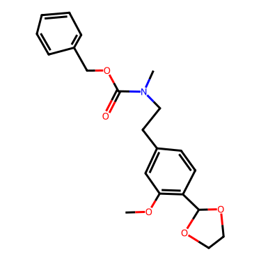 COc1cc(CCN(C)C(=O)OCc2ccccc2)ccc1C1OCCO1